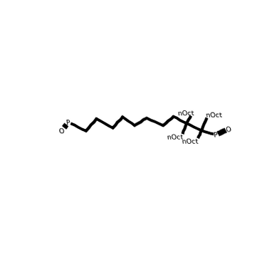 CCCCCCCCC(CCCCCCCC)(CCCCCCCCP=O)C(CCCCCCCC)(CCCCCCCC)P=O